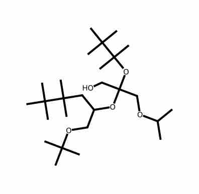 CC(C)OCC(CO)(OC(COC(C)(C)C)CC(C)(C)C(C)(C)C)OC(C)(C)C(C)(C)C